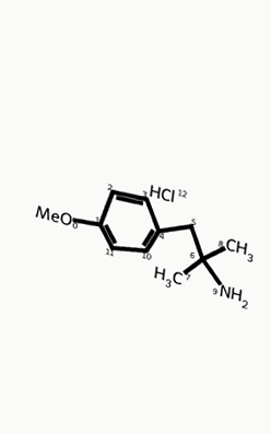 COc1ccc(CC(C)(C)N)cc1.Cl